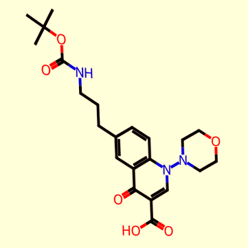 CC(C)(C)OC(=O)NCCCc1ccc2c(c1)c(=O)c(C(=O)O)cn2N1CCOCC1